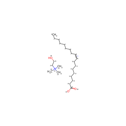 CCCCCCCC/C=C\CCCCCCCC(=O)[O-].C[N+](C)(C)CCO